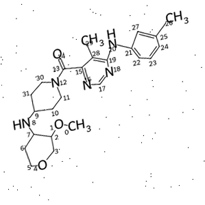 COC1COCCC1NC1CCN(C(=O)c2ncnc(Nc3cccc(C)c3)c2C)CC1